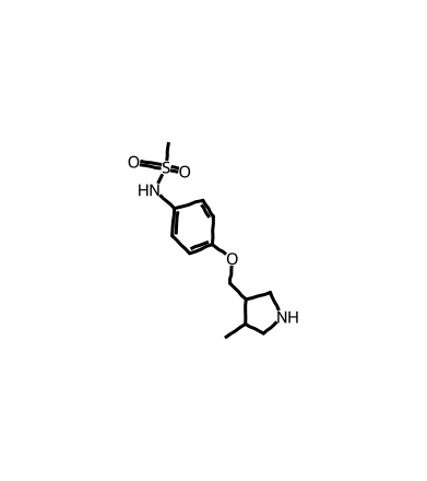 CC1CNCC1COc1ccc(NS(C)(=O)=O)cc1